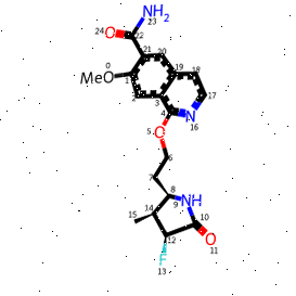 COc1cc2c(OCC[C@H]3NC(=O)[C@@H](F)[C@H]3C)nccc2cc1C(N)=O